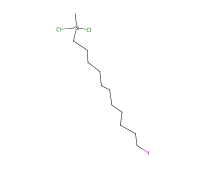 C[Si](Cl)(Cl)CCCCCCCCCCCI